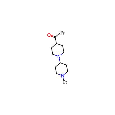 CCN1CCC(N2CCC(C(=O)C(C)C)CC2)CC1